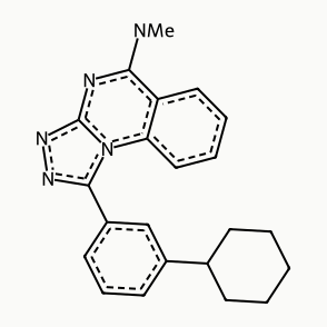 CNc1nc2nnc(-c3cccc(C4CCCCC4)c3)n2c2ccccc12